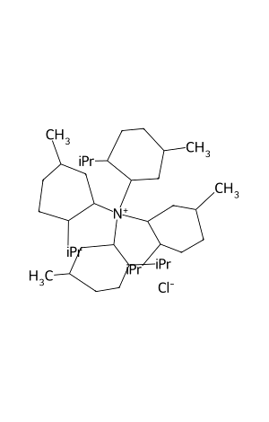 CC1CCC(C(C)C)C([N+](C2CC(C)CCC2C(C)C)(C2CC(C)CCC2C(C)C)C2CC(C)CCC2C(C)C)C1.[Cl-]